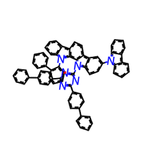 c1ccc(-c2ccc(-c3nc(-c4ccc(-c5ccccc5)cc4)nc(-n4c5ccc(-n6c7ccccc7c7ccccc76)cc5c5ccc6c7ccccc7n(-c7ccccc7-c7ccccc7)c6c54)n3)cc2)cc1